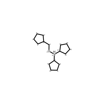 C1CCC(CO[SiH](C2CCCC2)C2CCCC2)C1